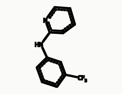 FC(F)(F)c1cccc(Nc2ccccn2)c1